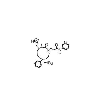 CCC(C)C[C@]1(c2ccccc2)CCCC(CC2(O)CCC2)C(C)C(=O)N(CCC(=O)Nc2cccnc2)CCC1